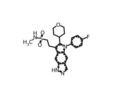 CNS(=O)(=O)CCc1c(C2CCOCC2)n(-c2ccc(F)cc2)c2cc3cn[nH]c3cc12